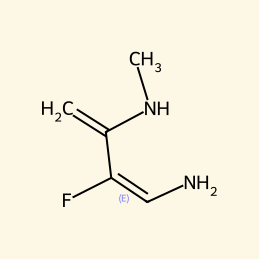 C=C(NC)/C(F)=C\N